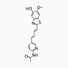 COc1cc2sc(/C=C/C=C/c3ccc(NC(C)=O)nc3)nc2cc1O